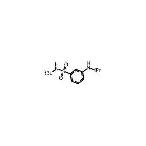 CC(C)Nc1cccc(S(=O)(=O)NC(C)(C)C)c1